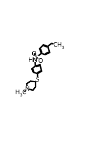 CCc1ccc(S(=O)(=O)Nc2ccc(SC3CCN(C)CC3)cc2)cc1